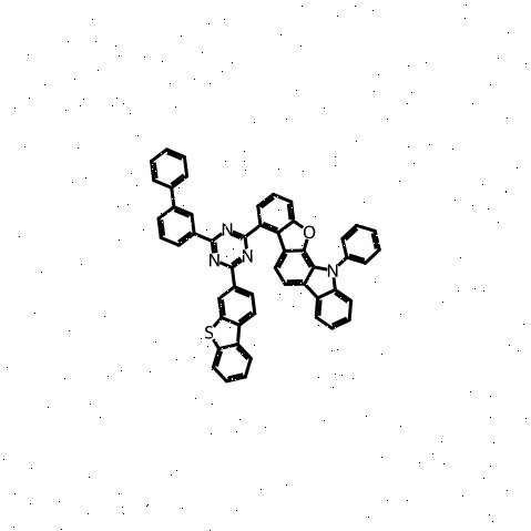 c1ccc(-c2cccc(-c3nc(-c4ccc5c(c4)sc4ccccc45)nc(-c4cccc5oc6c(ccc7c8ccccc8n(-c8ccccc8)c76)c45)n3)c2)cc1